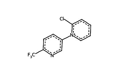 FC(F)(F)c1ccc(-[n+]2ccccc2Cl)cn1